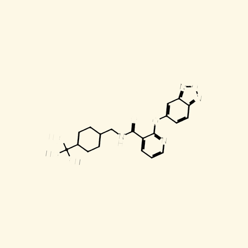 CC(C)(O)C1CCC(CNC(=O)c2cccnc2Oc2ccc3nonc3c2)CC1